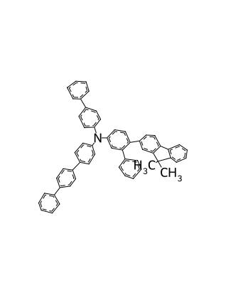 CC1(C)c2ccccc2-c2ccc(-c3ccc(N(c4ccc(-c5ccccc5)cc4)c4ccc(-c5ccc(-c6ccccc6)cc5)cc4)cc3-c3ccccc3)cc21